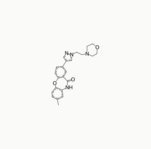 Cc1ccc2c(c1)NC(=O)c1cc(-c3cnn(CCN4CCOCC4)c3)ccc1O2